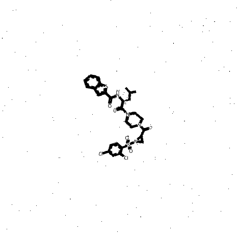 CC(C)C[C@H](NC(=O)c1cc2ccccc2s1)C(=O)N1CCN(C(=O)C2CN2S(=O)(=O)c2ccc(Cl)cc2Cl)CC1